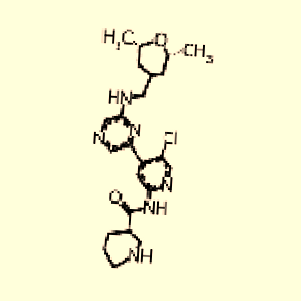 C[C@@H]1CC(CNc2cncc(-c3cc(NC(=O)[C@@H]4CCCNC4)ncc3Cl)n2)C[C@H](C)O1